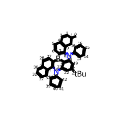 CC1C=Cc2ccc3c(c2C1)N(c1ccccc1)c1cc(C(C)(C)C)cc2c1B3c1ccc3ccccc3c1N2c1ccccc1